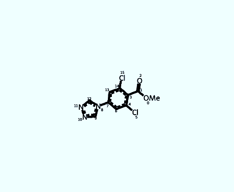 COC(=O)c1c(Cl)cc(-n2cnnc2)cc1Cl